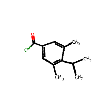 Cc1cc(C(=O)Cl)cc(C)c1C(C)C